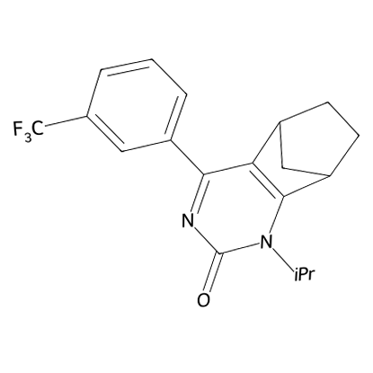 CC(C)n1c2c(c(-c3cccc(C(F)(F)F)c3)nc1=O)C1CCC2C1